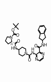 CC(C)(C)OC(=O)N1CCC[C@H]1C(=O)NC1CCN(C(=O)Nc2nccnc2C(=O)NC2Cc3ccccc3C2)CC1